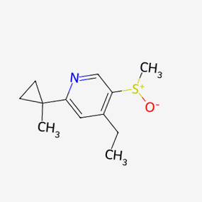 CCc1cc(C2(C)CC2)ncc1[S+](C)[O-]